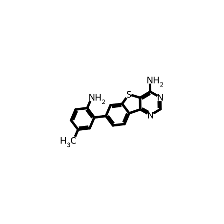 Cc1ccc(N)c(-c2ccc3c(c2)sc2c(N)ncnc23)c1